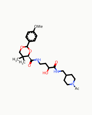 COc1ccc(C2OCC(C)(C)[C@H](C(=O)NCCC(O)C(=O)NCC3CCN(C(C)=O)CC3)O2)cc1